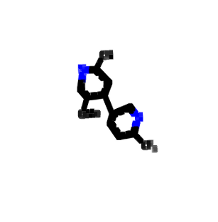 COc1cnc(C#N)cc1-c1ccc(C(F)(F)F)nc1